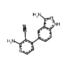 C#Cc1c(-c2ccc3[nH]nc(N)c3c2)ccnc1N